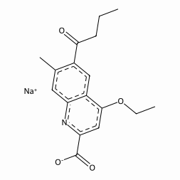 CCCC(=O)c1cc2c(OCC)cc(C(=O)[O-])nc2cc1C.[Na+]